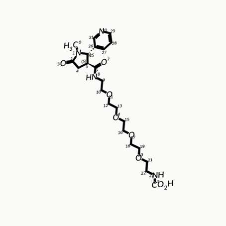 CN1C(=O)C[C@H](C(=O)NCCOCCOCCOCCOCCNC(=O)O)[C@H]1c1cccnc1